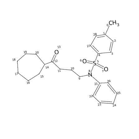 Cc1ccc(S(=O)(=O)N(CCCC(=O)C2CCCCCC2)c2ccccc2)cc1